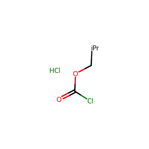 CC(C)COC(=O)Cl.Cl